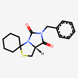 O=C1[C@@H]2CSC3(CCCCC3)N2C(=O)N1Cc1ccccc1